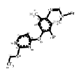 CCN(C)/C=N\c1cc(Br)c(Oc2ccnc(SCC(F)(F)F)n2)cc1C